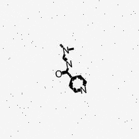 CN(C)C=NC(=O)c1ccncc1